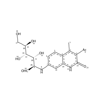 CC(=O)c1c(C)c2ccc(N[C@@H](C=O)[C@@H](O)[C@H](O)[C@H](O)CO)cc2[nH]c1=O